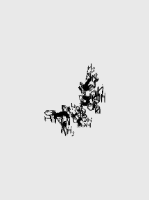 Nc1nc2c(ncn2[C@@H](COP(=O)(O)OC[C@H]2O[C@@H](n3cnc4c(N)ncnc43)C(O)C2O[PH](=O)O)OC(CO)CO)c(=O)[nH]1